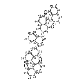 c1cc2ccc3oc4cc(-c5ccc(-c6cc7ccc8oc9cccc%10ccc%11oc(c6)c7c8-c%11c%109)c6ccccc56)cc5ccc6oc(c1)c2c3-c6c54